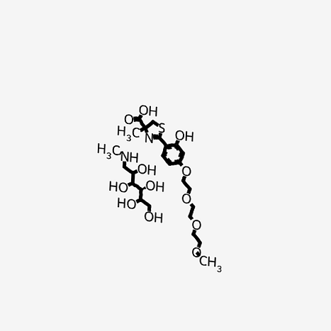 CNCC(O)C(O)[C@@H](O)C(O)CO.COCCOCCOCCOc1ccc(C2=NC(C)(C(=O)O)CS2)c(O)c1